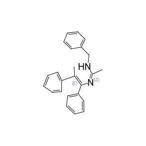 C/C(=N/C(=C(\C)c1ccccc1)c1ccccc1)NCc1ccccc1